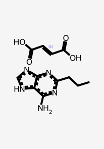 CCCc1nc(N)c2[nH]cnc2n1.O=C(O)/C=C/C(=O)O